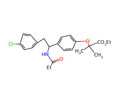 CCOC(=O)C(C)(C)Oc1ccc(C(Cc2ccc(Cl)cc2)NC(=O)CC)cc1